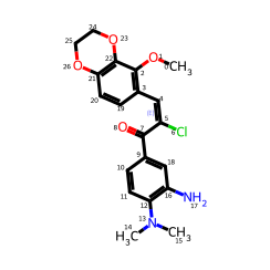 COc1c(/C=C(/Cl)C(=O)c2ccc(N(C)C)c(N)c2)ccc2c1OCCO2